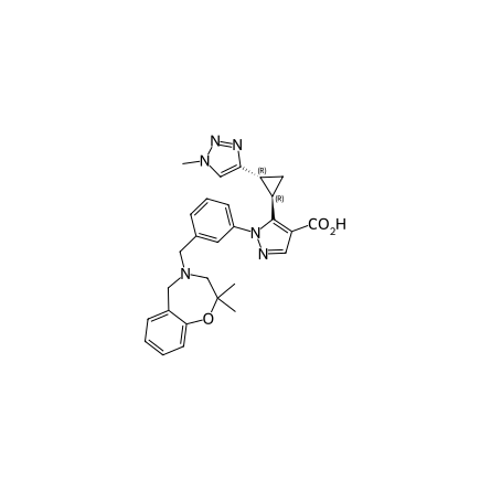 Cn1cc([C@@H]2C[C@H]2c2c(C(=O)O)cnn2-c2cccc(CN3Cc4ccccc4OC(C)(C)C3)c2)nn1